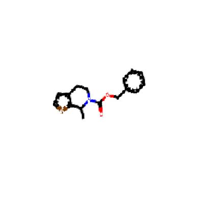 CC1c2sccc2CCN1C(=O)OCc1ccccc1